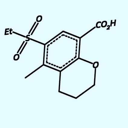 CCS(=O)(=O)c1cc(C(=O)O)c2c(c1C)CCCO2